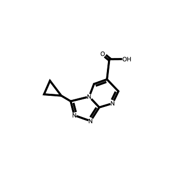 O=C(O)c1cnc2nnc(C3CC3)n2c1